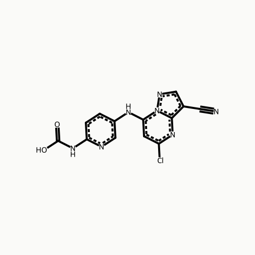 N#Cc1cnn2c(Nc3ccc(NC(=O)O)nc3)cc(Cl)nc12